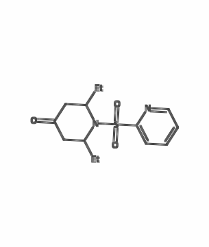 CCC1CC(=O)CC(CC)N1S(=O)(=O)c1ccccn1